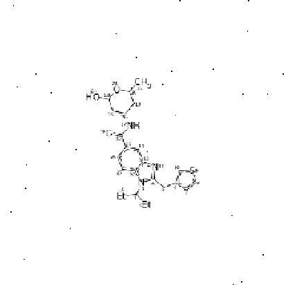 CCC(CC)n1c(Cc2ccsc2)nc2cc(C(=O)N[C@H]3CC(C)OC(O)C3)ccc21